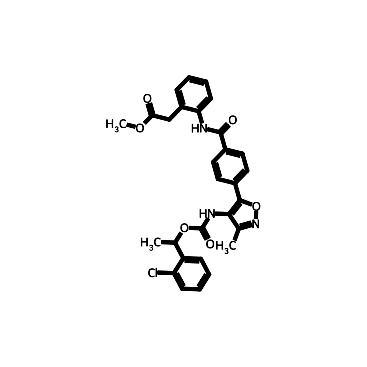 COC(=O)Cc1ccccc1NC(=O)c1ccc(-c2onc(C)c2NC(=O)OC(C)c2ccccc2Cl)cc1